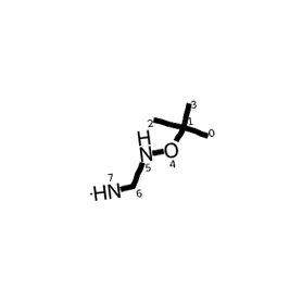 CC(C)(C)ONC[NH]